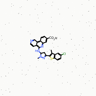 Cc1c(C2=NN(C)C(Nc3nc4cc(C(=O)O)ccc4c4cnccc34)C2)sc2ccc(Cl)cc12